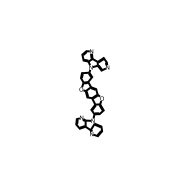 c1cnc2c(c1)c1ncccc1n2-c1ccc2oc3cc4c(cc3c2c1)oc1ccc(-n2c3cnccc3c3ncccc32)cc14